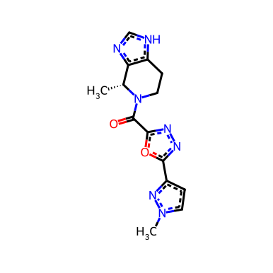 C[C@@H]1c2nc[nH]c2CCN1C(=O)c1nnc(-c2ccn(C)n2)o1